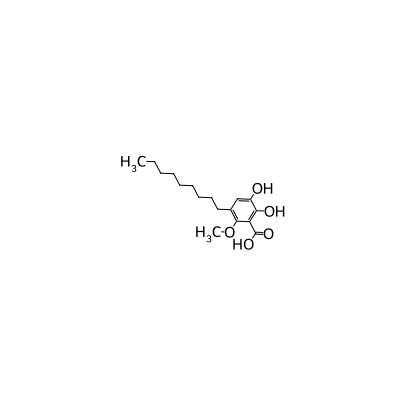 CCCCCCCCCc1cc(O)c(O)c(C(=O)O)c1OC